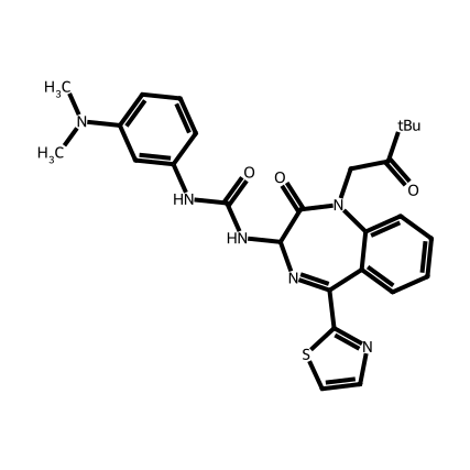 CN(C)c1cccc(NC(=O)NC2N=C(c3nccs3)c3ccccc3N(CC(=O)C(C)(C)C)C2=O)c1